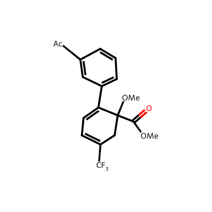 COC(=O)C1(OC)CC(C(F)(F)F)=CC=C1c1cccc(C(C)=O)c1